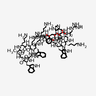 C[C@H](NC(=O)CNC(=O)[C@H](Cc1c[nH]c2ccccc12)NC(=O)CN)C(=O)N[C@@H](CCCCN)C(=O)N[C@@H](CCCNC(=N)N)C(=O)N[C@@H](Cc1c[nH]c2ccccc12)C(=O)NCC(=O)N[C@@H](CCCCN)C(=O)N[C@@H](CCCNC(=N)N)C(=O)NCC(=O)N[C@@H](Cc1c[nH]c2ccccc12)C(=O)N[C@@H](CCCCN)C(=O)N[C@@H](CCCNC(=N)N)C(=O)N[C@@H](Cc1c[nH]cn1)C(=O)N[C@@H](Cc1c[nH]c2ccccc12)C(=O)O